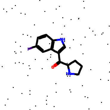 O=C(c1c[nH]c2ccc(I)cc12)C1CCCN1